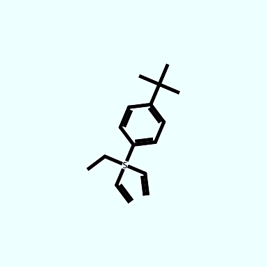 C=CS(C=C)(CC)c1ccc(C(C)(C)C)cc1